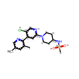 Cc1cc(C#N)cnc1-c1cc(N2CCC(NS(C)(=O)=O)CC2)ncc1Cl